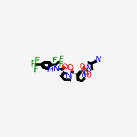 N#CC1CN(S(=O)(=O)N2CCC[C@H](C(=O)N3CCC[C@@H]3C(=O)N[C@@H](c3ccc(C(F)(F)F)cc3)C(F)(F)F)C2)C1